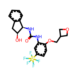 O=C(Nc1cc(S(F)(F)(F)(F)F)ccc1OCC1COC1)N[C@@H]1c2ccccc2C[C@@H]1O